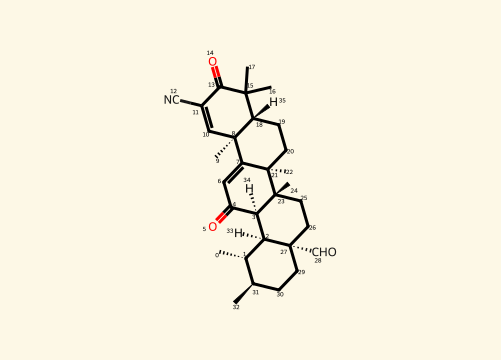 C[C@@H]1[C@H]2[C@H]3C(=O)C=C4[C@@]5(C)C=C(C#N)C(=O)C(C)(C)[C@@H]5CC[C@@]4(C)[C@]3(C)CC[C@@]2(C=O)CC[C@H]1C